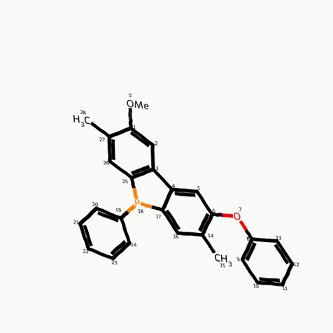 COc1cc2c3cc(Oc4ccccc4)c(C)cc3p(-c3ccccc3)c2cc1C